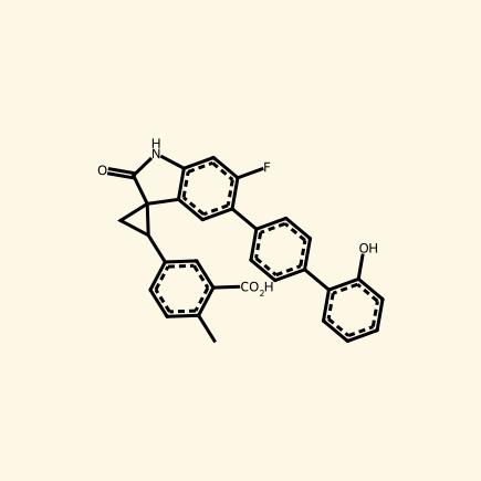 Cc1ccc(C2CC23C(=O)Nc2cc(F)c(-c4ccc(-c5ccccc5O)cc4)cc23)cc1C(=O)O